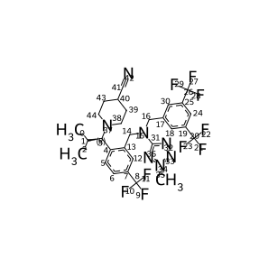 CC(C)[C@H](c1ccc(C(F)(F)F)cc1CN(Cc1cc(C(F)(F)F)cc(C(F)(F)F)c1)c1nnn(C)n1)N1CCC(C#N)CC1